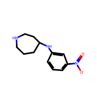 O=[N+]([O-])c1cccc(NC2CCCNCC2)c1